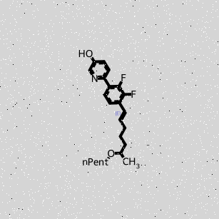 CCCCCOC(C)CCC/C=C/c1ccc(-c2ccc(O)cn2)c(F)c1F